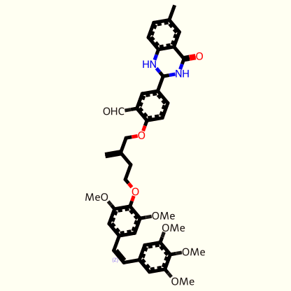 C=C(CCOc1c(OC)cc(/C=C\c2cc(OC)c(OC)c(OC)c2)cc1OC)COc1ccc(C2NC(=O)c3cc(C)ccc3N2)cc1C=O